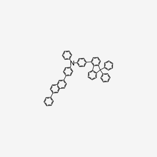 c1ccc(-c2ccc3cc(-c4ccc(N(c5ccccc5)c5ccc(-c6cccc7c6-c6ccccc6C7(c6ccccc6)c6ccccc6)cc5)cc4)ccc3c2)cc1